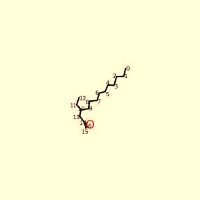 CCCCCCCCCCC(CC)CC1CO1